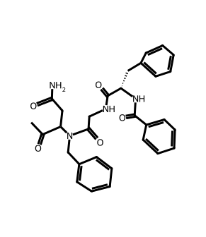 CC(=O)C(CC(N)=O)N(Cc1ccccc1)C(=O)CNC(=O)[C@H](Cc1ccccc1)NC(=O)c1ccccc1